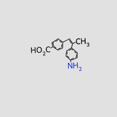 CC(=Cc1ccc(C(=O)O)cc1)c1ccc(N)cc1